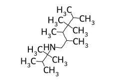 CC(CNC(C)(C)C(C)C)C(C)C(C)(C)C(C)C